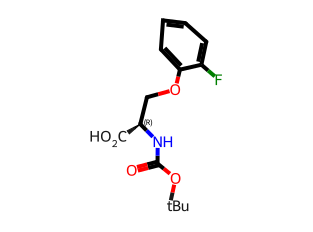 CC(C)(C)OC(=O)N[C@H](COc1ccccc1F)C(=O)O